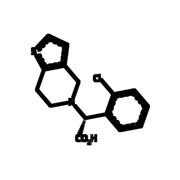 O=C(O)[C@@H](c1ccccc1Cl)N1CCc2sccc2C1